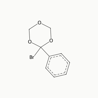 BrC1(c2ccccc2)OCOCO1